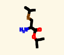 CC(C)OC(=O)C(N)CSC(C)C